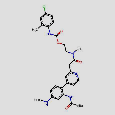 CCCCC(=O)Nc1cc(NC=O)ccc1-c1ccnc(CC(=O)N(C)CCOC(=O)Nc2ccc(Cl)cc2C)c1